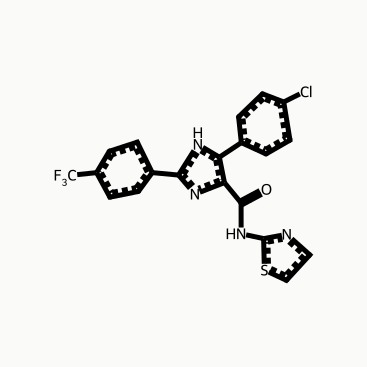 O=C(Nc1nccs1)c1nc(-c2ccc(C(F)(F)F)cc2)[nH]c1-c1ccc(Cl)cc1